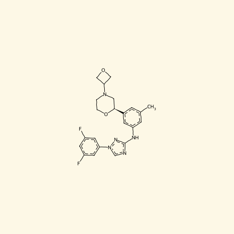 Cc1cc(Nc2ncn(-c3cc(F)cc(F)c3)n2)cc([C@@H]2CN(C3COC3)CCO2)c1